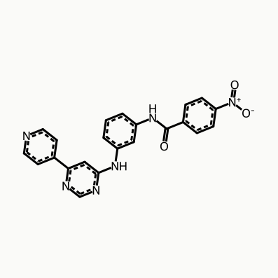 O=C(Nc1cccc(Nc2cc(-c3ccncc3)ncn2)c1)c1ccc([N+](=O)[O-])cc1